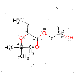 CC=C(O[Si](C)(C)C)C(=O)OC[SiH2]O